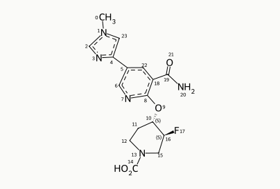 Cn1cnc(-c2cnc(O[C@H]3CCN(C(=O)O)C[C@@H]3F)c(C(N)=O)c2)c1